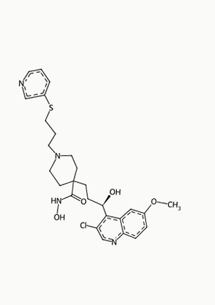 COc1ccc2ncc(Cl)c([C@H](O)CCC3(C(=O)NO)CCN(CCCSc4cccnc4)CC3)c2c1